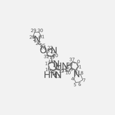 c1cc(N2CCCCC2)c2cc(-c3n[nH]c4ccc(-c5cncc(OCCN6CCCC6)c5)nc34)[nH]c2c1